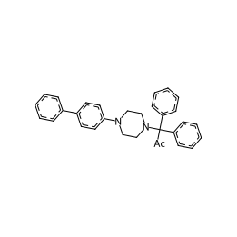 CC(=O)C(c1ccccc1)(c1ccccc1)N1CCN(c2ccc(-c3ccccc3)cc2)CC1